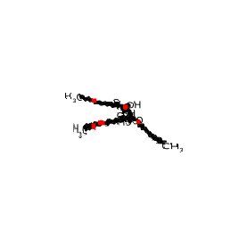 CCCCCCCCCCCCCC(=O)OCC(CO)(CO)COCC(CO)(COC(=O)CCCCCCCCCCCCC)COC(=O)CCCCCCCCCCCCC